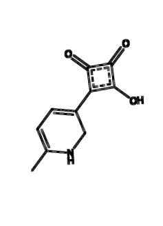 CC1=CC=C(c2c(O)c(=O)c2=O)CN1